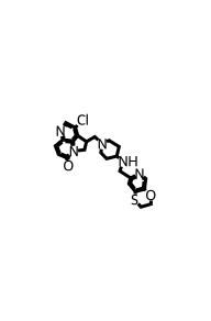 O=c1ccc2ncc(Cl)c3c2n1CC3CN1CCC(NCc2cc3c(cn2)OCCS3)CC1